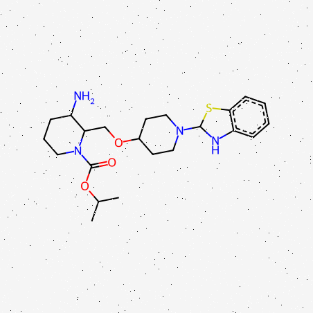 CC(C)OC(=O)N1CCCC(N)C1COC1CCN(C2Nc3ccccc3S2)CC1